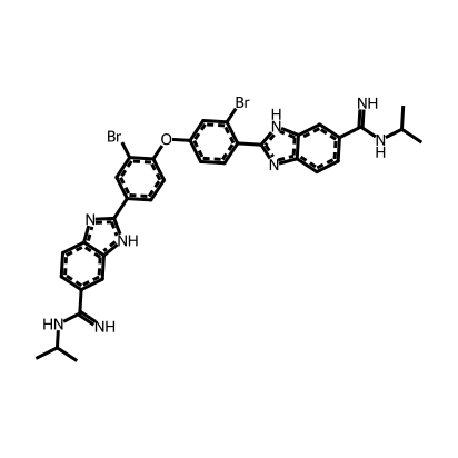 CC(C)NC(=N)c1ccc2nc(-c3ccc(Oc4ccc(-c5nc6ccc(C(=N)NC(C)C)cc6[nH]5)c(Br)c4)c(Br)c3)[nH]c2c1